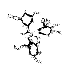 CC(=O)Oc1cc(OC(C)=O)cc(C(=O)O[C@@H]2Cc3c(OC(C)=O)cc(OC(C)=O)cc3O[C@H]2c2cc(OC(C)=O)c(OC(C)=O)c(OC(C)=O)c2)c1